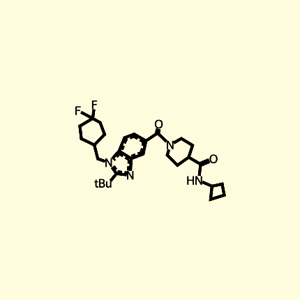 CC(C)(C)c1nc2cc(C(=O)N3CCC(C(=O)NC4CCC4)CC3)ccc2n1CC1CCC(F)(F)CC1